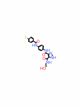 O=C(Nc1ccc(NC(=O)c2nc[nH]c2C(=O)NCCO)cc1)c1ccc(F)cc1